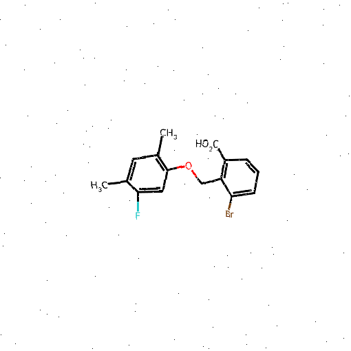 Cc1cc(C)c(OCc2c(Br)cccc2C(=O)O)cc1F